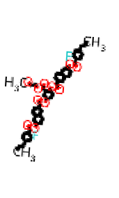 CCCc1ccc(C(=O)Oc2ccc3cc(C(=O)Oc4ccc(OC(=O)c5ccc6cc(OC(=O)c7ccc(CCC)cc7F)ccc6c5)c(C(=O)OCCOC)c4)ccc3c2)c(F)c1